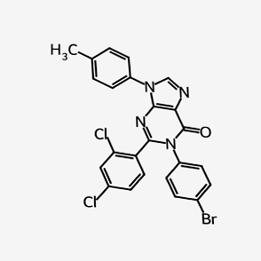 Cc1ccc(-n2cnc3c(=O)n(-c4ccc(Br)cc4)c(-c4ccc(Cl)cc4Cl)nc32)cc1